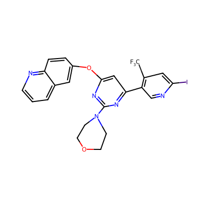 FC(F)(F)c1cc(I)ncc1-c1cc(Oc2ccc3ncccc3c2)nc(N2CCOCC2)n1